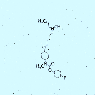 C=CCN(C)CCCCCO[C@H]1CC[C@H](N(C)C(=O)Oc2ccc(F)cc2)CC1